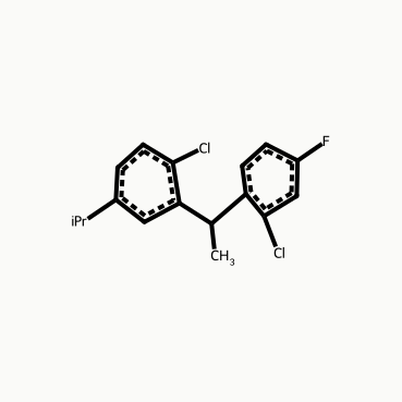 CC(C)c1ccc(Cl)c(C(C)c2ccc(F)cc2Cl)c1